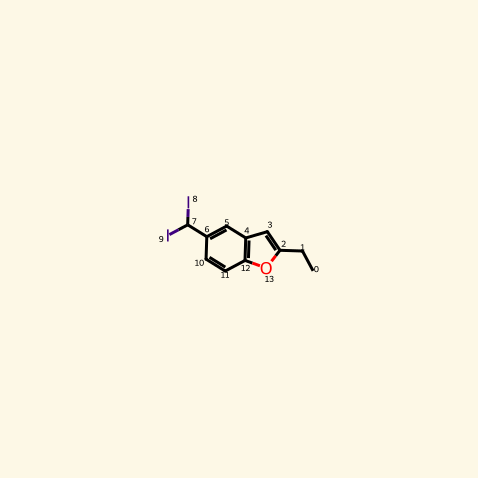 CCc1cc2cc(C(I)I)ccc2o1